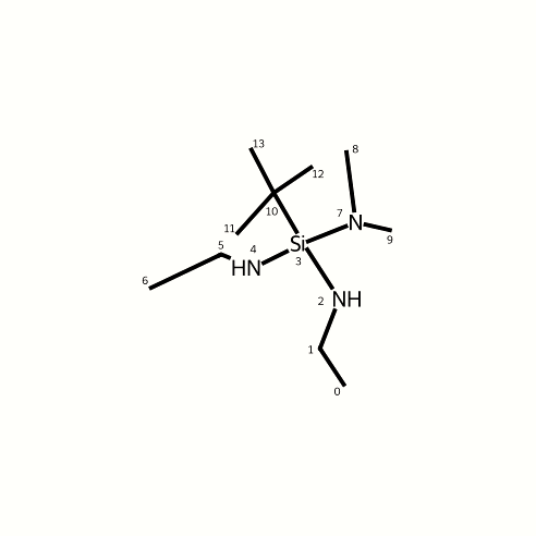 CCN[Si](NCC)(N(C)C)C(C)(C)C